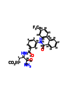 CCOC(=O)CC(NC(=O)c1cccc(NC(=O)c2ccccc2-c2ccc(C(F)(F)F)cc2)c1)C(N)=O